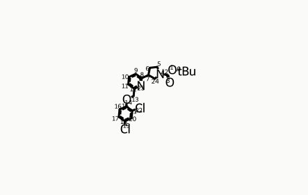 CC(C)(C)OC(=O)N1CCC(c2cccc(COc3ccc(Cl)cc3Cl)n2)C1